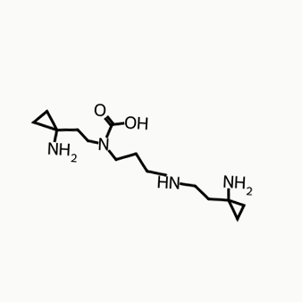 NC1(CCNCCCCN(CCC2(N)CC2)C(=O)O)CC1